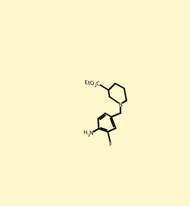 CCOC(=O)C1CCCN(Cc2ccc(N)c(F)c2)C1